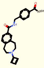 CNC(=O)c1ccc(CNC(=O)c2ccc3c(c2)CCN(C2=CC=C2)CC3)cc1